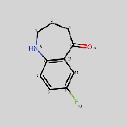 O=C1CCCNc2ccc(F)cc21